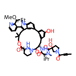 CC#CC(=O)N1CCC(O)(C(=O)N(C)[C@H](C(=O)N[C@H]2Cc3cc(O)cc(c3)-c3ccc4c(c3)c(c(-c3cccnc3[C@H](C)OC)n4CC)CC(C)(C)COC(=O)[C@@H]3CCCN(N3)C2=O)C(C)C)C1